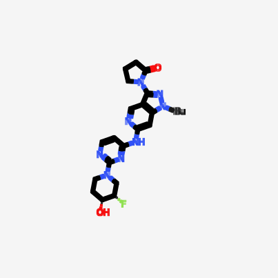 CCC(C)n1nc(N2CCCC2=O)c2cnc(Nc3ccnc(N4CC[C@@H](O)[C@@H](F)C4)n3)cc21